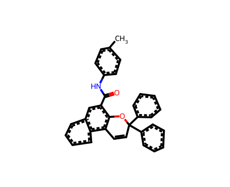 Cc1ccc(NC(=O)c2cc3ccccc3c3c2OC(c2ccccc2)(c2ccccc2)C=C3)cc1